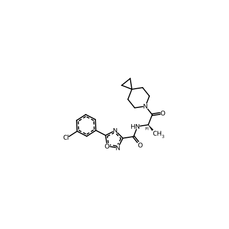 C[C@@H](NC(=O)c1noc(-c2cccc(Cl)c2)n1)C(=O)N1CCC2(CC1)CC2